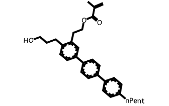 C=C(C)C(=O)OCCc1cc(-c2ccc(-c3ccc(CCCCC)cc3)cc2)ccc1CCCO